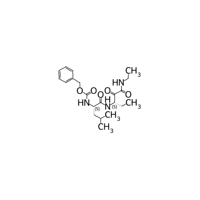 CCNC(=O)C(=O)[C@H](CC)NC(=O)[C@H](CC(C)C)NC(=O)OCc1ccccc1